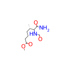 COC(=O)CCC[C@H](C)[C@H](NC=O)C(N)=O